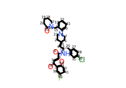 O=C(N[C@H](C=C1CCN(c2ccccc2CN2CCCCC2=O)CC1)Cc1ccc(Cl)cc1)c1cc(=O)c2cc(F)ccc2o1